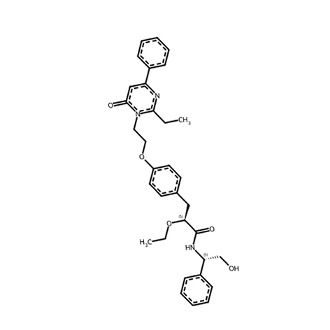 CCO[C@@H](Cc1ccc(OCCn2c(CC)nc(-c3ccccc3)cc2=O)cc1)C(=O)N[C@H](CO)c1ccccc1